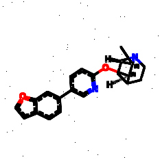 C[C@H]1[C@H](Oc2ccc(-c3ccc4ccoc4c3)cn2)C2CCN1CC2